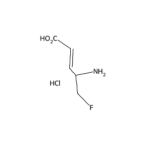 Cl.NC(C=CC(=O)O)CF